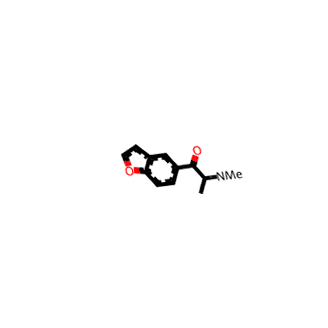 CNC(C)C(=O)c1ccc2occc2c1